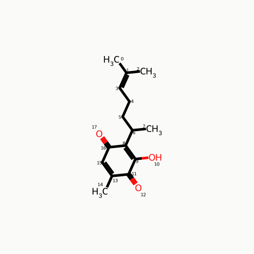 CC(C)=CCCC(C)C1=C(O)C(=O)C(C)=CC1=O